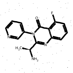 C[C@H](N)c1nc2cccc(F)c2c(=O)n1-c1cccnc1